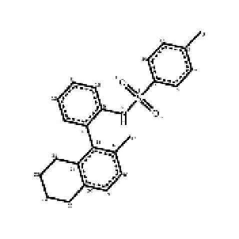 Cc1ccc(S(=O)(=O)Nc2ccccc2-c2c(C)ccc3c2CCCC3)cc1